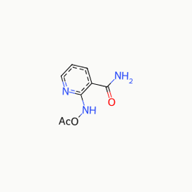 CC(=O)ONc1ncccc1C(N)=O